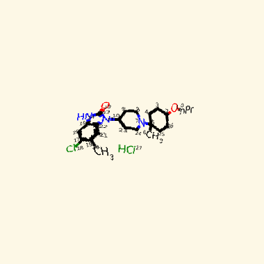 CCCOC1CCC(C)(N2CCC(n3c(=O)[nH]c4cc(Cl)c(C)cc43)CC2)CC1.Cl